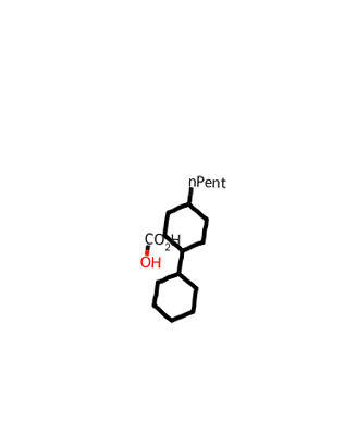 CCCCCC1CCC(C2CCCCC2)CC1.O=C(O)O